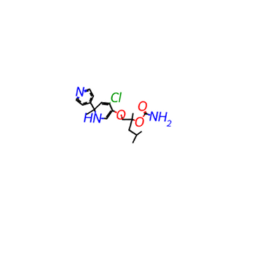 CC(C)CC(C)(COC1=CNC(C)(c2ccncc2)C=C1Cl)OC(N)=O